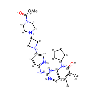 COC(=O)N1CCN(C2CN(c3ccc(Nc4ncc5c(C)c(C(C)=O)c(=O)n(C6CCCC6)c5n4)nc3)C2)CC1